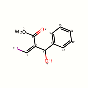 COC(=O)C(=CI)C(O)c1ccccc1